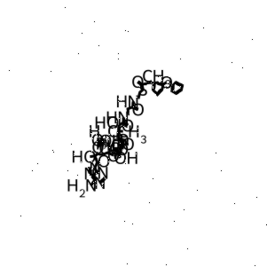 CC(C(=O)SCCNC(=O)CCNC(=O)C(O)C(C)(C)COP(=O)(O)OP(=O)(O)OCC1OC(n2cnc3c(N)ncnc32)C(O)C1OP(=O)(O)O)c1cccc(Oc2ccccc2)c1